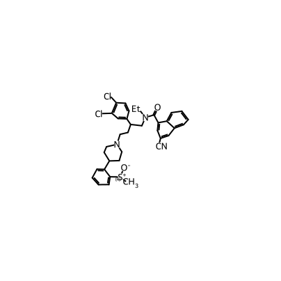 CCN(CC(CCN1CCC(c2ccccc2[S@+](C)[O-])CC1)c1ccc(Cl)c(Cl)c1)C(=O)c1cc(C#N)cc2ccccc12